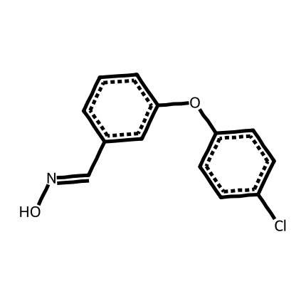 O/N=C/c1cccc(Oc2ccc(Cl)cc2)c1